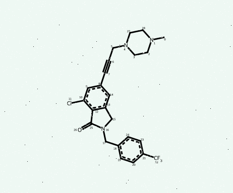 CN1CCN(CC#Cc2cc(Cl)c3c(c2)CN(Cc2ccc(C(F)(F)F)cc2)C3=O)CC1